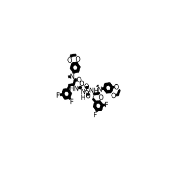 CN(C(=O)C(Cc1cc(F)cc(F)c1)NC(=O)NS(=O)(=O)N[C@@H](Cc1cc(F)cc(F)c1)C(=O)N(C)c1ccc2c(c1)OCCO2)c1ccc2c(c1)OCCO2